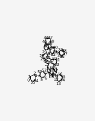 c1ccc(-c2ccc(-c3nc(-c4ccccc4)nc(-c4cccc5c4sc4cccc(-c6cc(-c7ccccc7)cc7c6oc6ccccc67)c45)n3)cc2)cc1